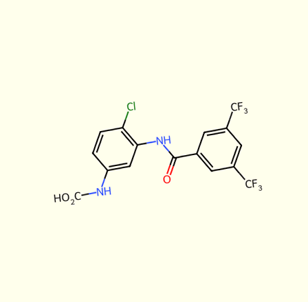 O=C(O)Nc1ccc(Cl)c(NC(=O)c2cc(C(F)(F)F)cc(C(F)(F)F)c2)c1